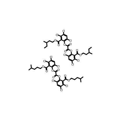 CC(C)CCCOC(=O)c1c(Cl)c(Cl)cc(Cl)c1OC(=O)C(=O)Oc1c(Cl)cc(Cl)c(Cl)c1C(=O)OCCCC(C)C.CCC(C)CCOC(=O)c1c(Cl)c(Cl)cc(Cl)c1OC(=O)C(=O)Oc1c(Cl)cc(Cl)c(Cl)c1C(=O)OCCC(C)CC